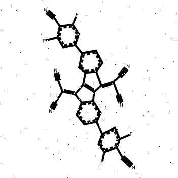 N#CC(C#N)=C1C2=C(C(=C(C#N)C#N)c3ccc(-c4cc(F)c(C#N)c(F)c4)cc32)c2cc(-c3cc(F)c(C#N)c(F)c3)ccc21